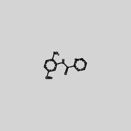 COc1ccc([N+](=O)[O-])c(NC(=O)c2ccccn2)c1